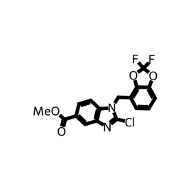 COC(=O)c1ccc2c(c1)nc(Cl)n2Cc1cccc2c1OC(F)(F)O2